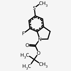 CSc1cc(F)c2c(c1)CCN2C(=O)OC(C)(C)C